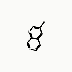 Fc1cnc2cnccc2c1